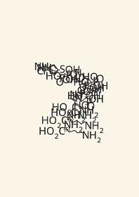 N.N.NCC(=O)O.NCC(=O)O.NCCCC[C@H](N)C(=O)O.NCCCC[C@H](N)C(=O)O.O=P(O)(O)C(O)(Cc1cccnc1)P(=O)(O)O.O=P(O)(O)C(O)(Cn1ccnc1)P(=O)(O)O.O=P(O)(O)C(Sc1ccc(Cl)cc1)P(=O)(O)O